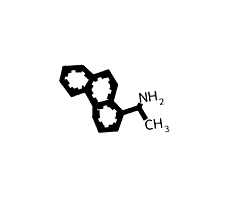 CC(N)c1cccc2c1ccc1ccccc12